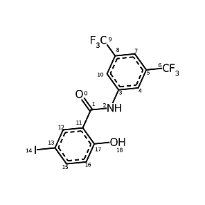 O=C(Nc1cc(C(F)(F)F)cc(C(F)(F)F)c1)c1cc(I)ccc1O